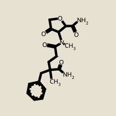 CN(C(=O)[CH]CC(C)(Cc1ccccc1)C(N)=O)C1C(=O)COC1C(N)=O